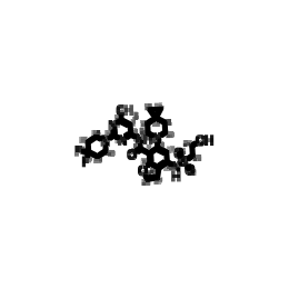 Cc1cc(NC(=O)c2c(N3CCC4(CC3)CC4)cc(NS(=O)(=O)CCO)c3ccoc23)nc(N2CCC(F)(F)CC2)n1